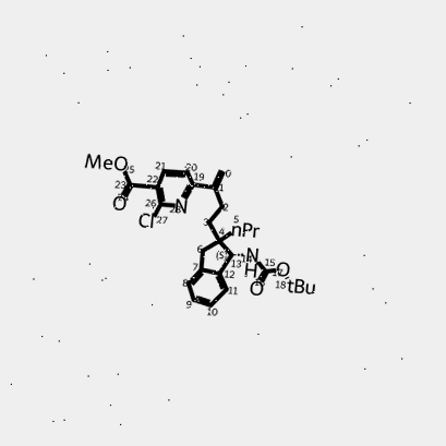 C=C(CCC1(CCC)Cc2ccccc2[C@H]1NC(=O)OC(C)(C)C)c1ccc(C(=O)OC)c(Cl)n1